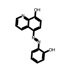 Oc1ccccc1N=Nc1ccc(O)c2ncccc12